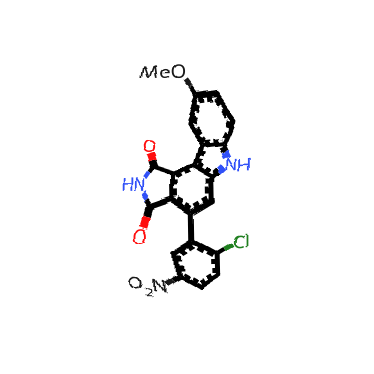 COc1ccc2[nH]c3cc(-c4cc([N+](=O)[O-])ccc4Cl)c4c(c3c2c1)C(=O)NC4=O